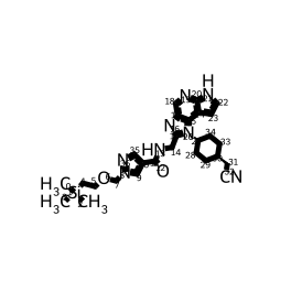 C[Si](C)(C)CCOCn1cc(C(=O)NCc2nc3cnc4[nH]ccc4c3n2[C@H]2CC[C@H](CC#N)CC2)cn1